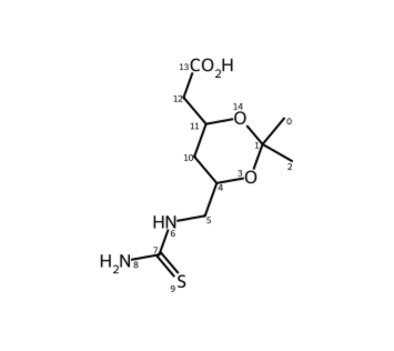 CC1(C)OC(CNC(N)=S)CC(CC(=O)O)O1